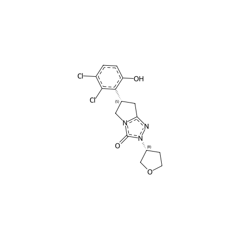 O=c1n([C@@H]2CCOC2)nc2n1C[C@H](c1c(O)ccc(Cl)c1Cl)C2